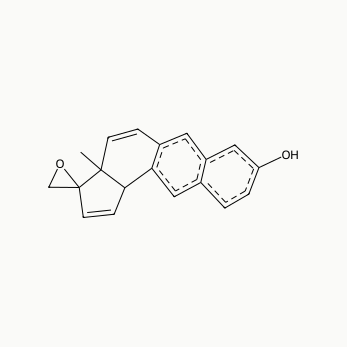 CC12C=Cc3cc4cc(O)ccc4cc3C1C=CC21CO1